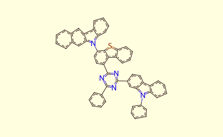 c1ccc(-c2nc(-c3ccc4c5ccccc5n(-c5ccccc5)c4c3)nc(-c3ccc(-n4c5ccccc5c5cc6ccccc6cc54)c4sc5ccccc5c34)n2)cc1